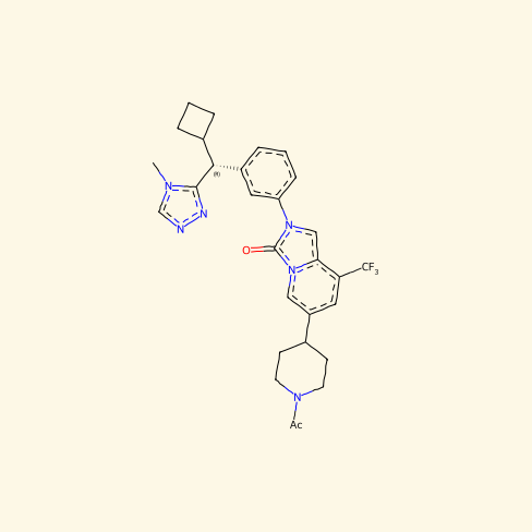 CC(=O)N1CCC(c2cc(C(F)(F)F)c3cn(-c4cccc([C@H](c5nncn5C)C5CCC5)c4)c(=O)n3c2)CC1